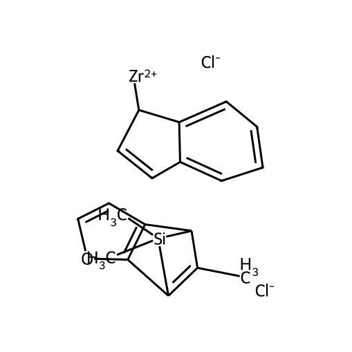 CC1=C2c3occc3C1[Si]2(C)C.[Cl-].[Cl-].[Zr+2][CH]1C=Cc2ccccc21